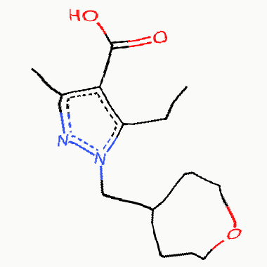 CCc1c(C(=O)O)c(C)nn1CC1CCOCC1